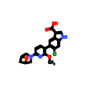 COc1nc(N2CC3CC(C2)O3)ccc1-c1cc2c(C(=O)O)c[nH]c2cc1Cl